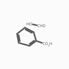 O=C(O)c1ccccc1.O=CO